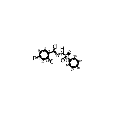 O=S(=O)(NN=C(Cl)c1ccc(F)cc1Cl)c1ccccc1